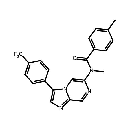 Cc1ccc(C(=O)N(C)c2cn3c(-c4ccc(C(F)(F)F)cc4)cnc3cn2)cc1